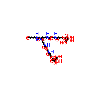 COCCCCCCNC(=O)C[C@H](CCCCNC(=O)COCCNC(=O)CCCCO[C@@H]1OC(CO)[C@@H](O)[C@H](O)C1O)NC(=O)CCCNC(=O)COCCNC(=O)CCCO[C@@H]1OC(CO)[C@@H](O)[C@H](O)C1O